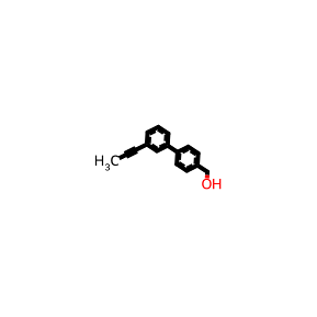 CC#Cc1cccc(-c2ccc(CO)cc2)c1